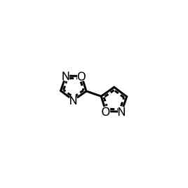 c1cc(-c2ncno2)on1